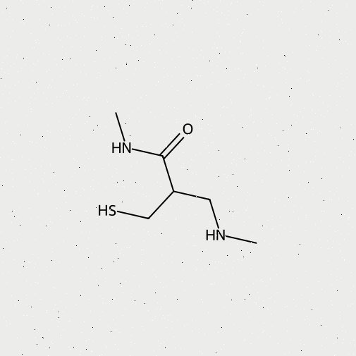 CNCC(CS)C(=O)NC